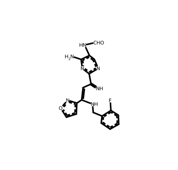 N=C(/C=C(\NCc1ccccc1F)c1ccon1)c1ncc(NC=O)c(N)n1